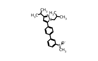 CC(C)Cn1nc(C(C)C)cc1-c1ccc(-c2cccc([S+](C)[O-])c2)cc1